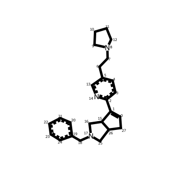 C1=C(c2ccc(CCN3CCCC3)cn2)C2CN(Cc3ccccc3)CC2C1